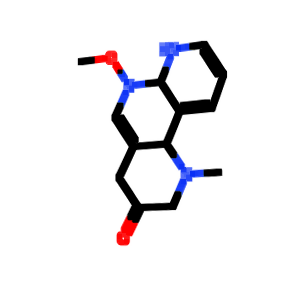 CON1C=C2CC(=O)CN(C)C2C2=CC=CNC21